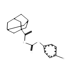 CC(C)c1ccc(NC(=N)NC(=O)C23CC4CC(CC(C4)C2)C3)cc1